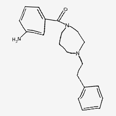 Nc1cccc(C(=O)N2CCN(CCc3ccccc3)CC2)c1